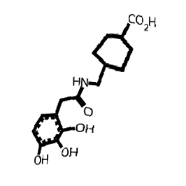 O=C(Cc1ccc(O)c(O)c1O)NCC1CCC(C(=O)O)CC1